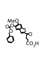 COc1cc2sc(C(=O)CCC(=O)O)cc2cc1OC(=O)OCc1ccccc1